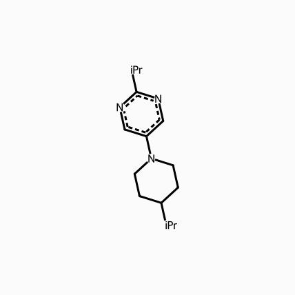 CC(C)c1ncc(N2CCC(C(C)C)CC2)cn1